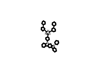 c1ccc(-c2cccc(-c3nc(-c4ccc(-n5c6ccccc6c6cc7c8ccccc8n(-c8ccccc8)c7cc65)cc4)nc(-c4cccc(-c5ccccc5)c4)n3)c2)cc1